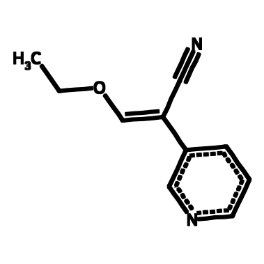 CCOC=C(C#N)c1cccnc1